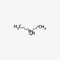 CCCCCn1ccnc1CCCC